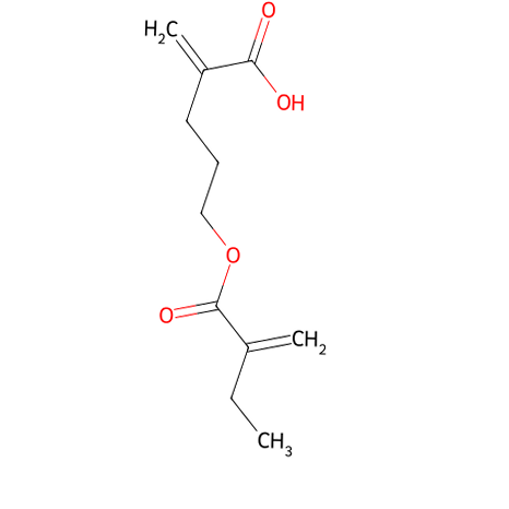 C=C(CCCOC(=O)C(=C)CC)C(=O)O